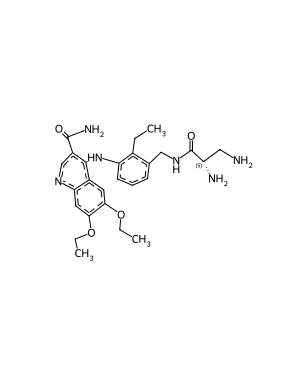 CCOc1cc2ncc(C(N)=O)c(Nc3cccc(CNC(=O)[C@@H](N)CN)c3CC)c2cc1OCC